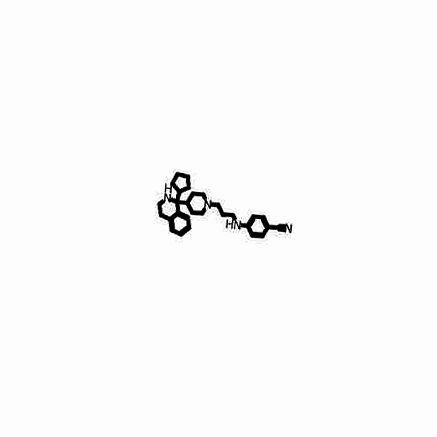 N#Cc1ccc(NCCCN2CCC(C3(C4CCCC4)NCCc4ccccc43)CC2)cc1